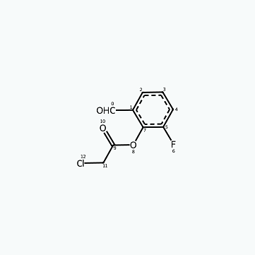 O=Cc1cccc(F)c1OC(=O)CCl